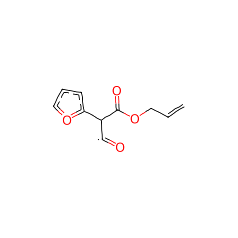 C=CCOC(=O)C([C]=O)c1ccco1